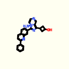 N[N+]12C=CN=CC1=C(C1CC(O)C1)N=C2c1ccc2ccc(-c3ccccc3)nc2c1